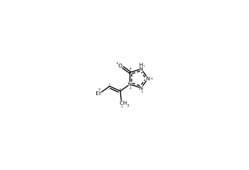 CCC=C(C)n1nn[nH]c1=O